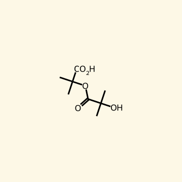 CC(C)(O)C(=O)OC(C)(C)C(=O)O